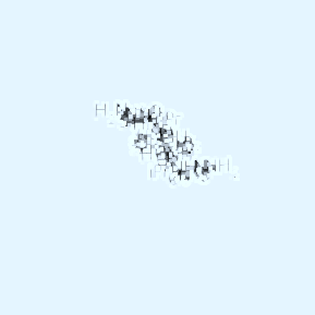 CC(C)[C@H](NC(=O)N(C)Cc1csc(N)n1)C(=O)N[C@@H](Cc1ccccc1)[C@H](O)[C@@H](O)[C@H](Cc1ccccc1)NC(=O)[C@@H](NC(=O)N(C)Cc1csc(N)n1)C(C)C